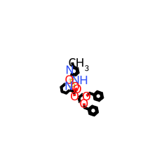 Cc1ccc(NS(=O)(=O)N2CCCCC2C(=O)OC(COCc2ccccc2)COCc2ccccc2)cn1